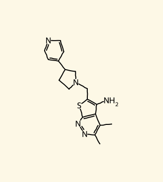 Cc1nnc2sc(CN3CCC(c4ccncc4)C3)c(N)c2c1C